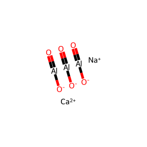 [Ca+2].[Na+].[O]=[Al][O-].[O]=[Al][O-].[O]=[Al][O-]